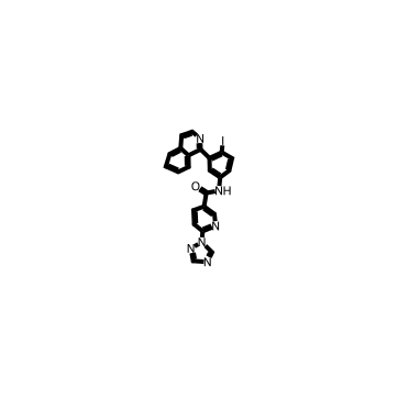 O=C(Nc1ccc(I)c(-c2nccc3ccccc23)c1)c1ccc(-n2cncn2)nc1